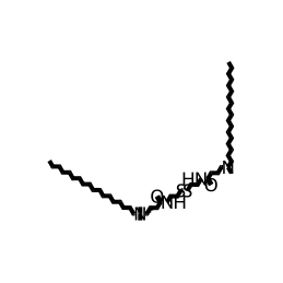 CCCCCCCCCCCCCCCCCCN(C)CCCC(=O)NCCSSCCNC(=O)CCC[N+](C)(C)CCCCCCCCCCCCCCCCCC